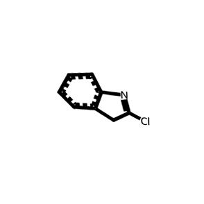 ClC1=Nc2ccccc2C1